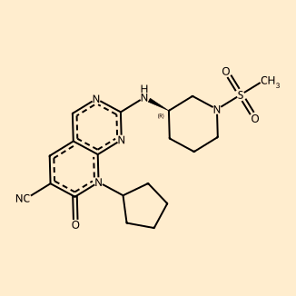 CS(=O)(=O)N1CCC[C@@H](Nc2ncc3cc(C#N)c(=O)n(C4CCCC4)c3n2)C1